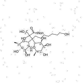 CCCCCCCCCC(=O)C(O)(C(=O)O)C(CCCCCCCO)(C1O[C@H](C)[C@@H](O)[C@H](O)[C@@H]1O)C1O[C@H](C)[C@@H](O)[C@H](O)[C@@H]1O